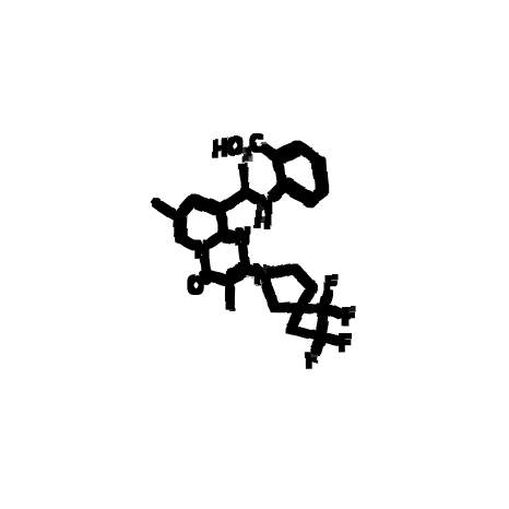 Cc1cc([C@@H](C)Nc2ccccc2C(=O)O)c2nc(N3CCC4(C3)CC(F)(F)C4(F)F)c(C)c(=O)n2c1